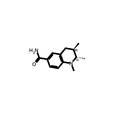 C[C@@H]1Cc2cc(C(N)=O)ccc2N(C)[C@H]1C